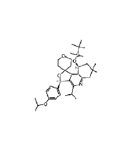 CC(C)Oc1ccc([C@H]2OC3(CCOCC3)c3c2c(C(C)C)nc2c3[C@@H](O[Si](C)(C)C(C)(C)C)CC(C)(C)C2)cc1